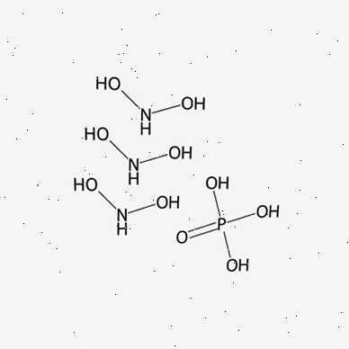 O=P(O)(O)O.ONO.ONO.ONO